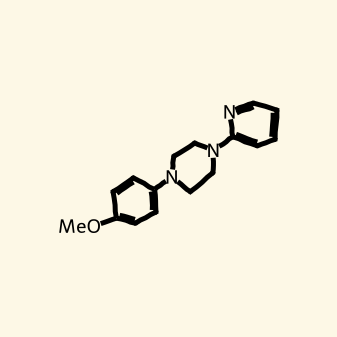 COc1ccc(N2CCN(c3ccccn3)CC2)cc1